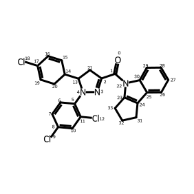 O=C(C1=NN(c2ccc(Cl)cc2Cl)C(C2C=CC(Cl)=CC2)C1)n1c2c(c3ccccc31)CCC2